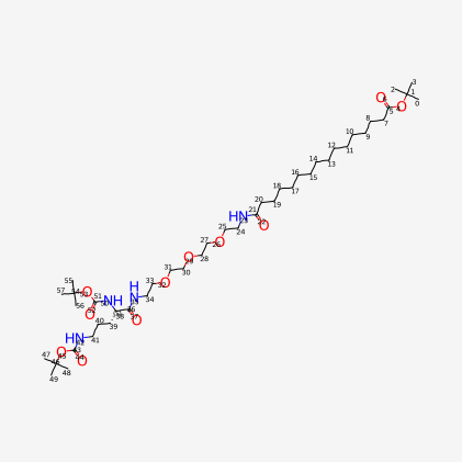 CC(C)(C)OC(=O)CCCCCCCCCCCCCCC(=O)NCCOCCOCCOCCNC(=O)[C@H](CCCNC(=O)OC(C)(C)C)NC(=O)OC(C)(C)C